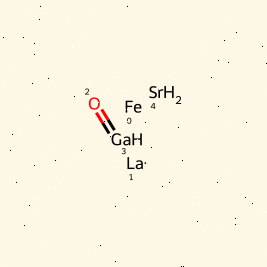 [Fe].[La].[O]=[GaH].[SrH2]